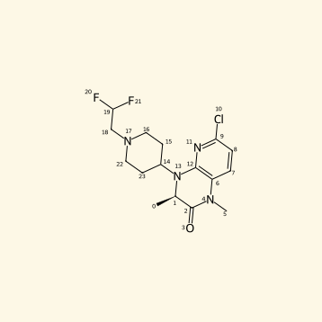 C[C@@H]1C(=O)N(C)c2ccc(Cl)nc2N1C1CCN(CC(F)F)CC1